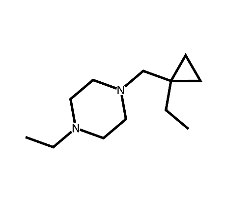 CCN1CCN(CC2(CC)CC2)CC1